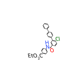 CCOC(=O)c1ccc(NC(=O)c2ccc(Cl)c(-c3ccc(-c4ccccc4)cc3)c2)cc1